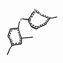 Cc1ccc(Sc2ccc(C)nn2)c(C)c1